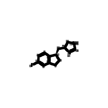 Fc1ccc2c(c1)CC[C@H]2CC1CNC=N1